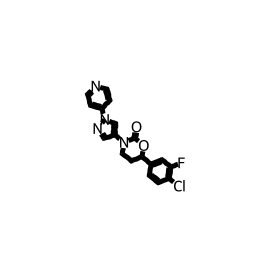 O=C1OC(c2ccc(Cl)c(F)c2)CCN1c1cnn(-c2ccncc2)c1